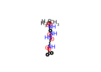 CC(C)(C)OC(=O)NCc1ccc(NC(=O)CNC(=O)CCCCCNC(=O)OCC2c3ccccc3-c3ccccc32)cc1